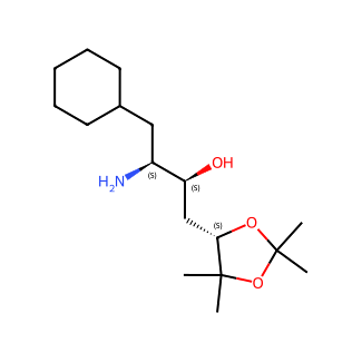 CC1(C)O[C@@H](C[C@H](O)[C@@H](N)CC2CCCCC2)C(C)(C)O1